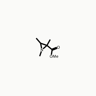 COC(=O)C1(C)C(C)N1C